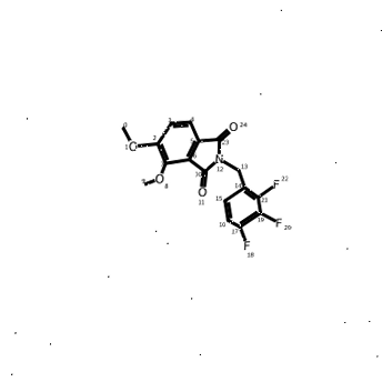 COc1ccc2c(c1OC)C(=O)N(Cc1ccc(F)c(F)c1F)C2=O